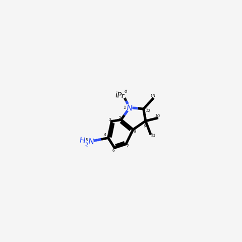 CC(C)N1c2cc(N)ccc2C(C)(C)C1C